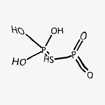 O=P(=O)[SH]=P(O)(O)O